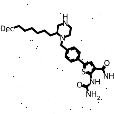 CCCCCCCCCCCCCCCCC1CNCCN1Cc1ccc(-c2cc(C(N)=O)c(NC(N)=O)s2)cc1